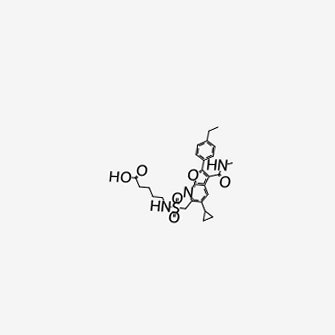 CCc1ccc(-c2oc3nc(CS(=O)(=O)NCCCCC(=O)O)c(C4CC4)cc3c2C(=O)NC)cc1